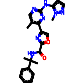 Cc1cnc(Nc2ccnn2C)nc1-c1coc(C(=O)NC(C)(C)c2ccccc2)n1